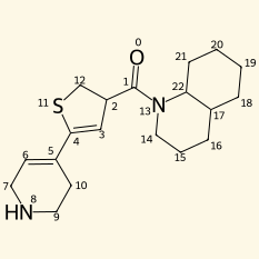 O=C(C1C=C(C2=CCNCC2)SC1)N1CCCC2CCCCC21